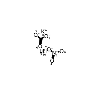 O=C([O-])[O-].O=[N+]([O-])[O-].[K+].[Li+].[Li+]